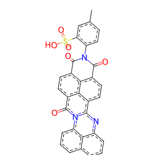 Cc1ccc(N2C(=O)c3ccc4c(=O)n5c6cccc7cccc(nc5c5ccc(c3c45)C2=O)c76)c(S(=O)(=O)O)c1